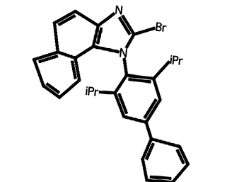 CC(C)c1cc(-c2ccccc2)cc(C(C)C)c1-n1c(Br)nc2ccc3ccccc3c21